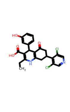 CCC1=C(C(=O)O)C(c2cccc(O)c2)C2=C(CC(c3c(Cl)cncc3Cl)CC2=O)N1